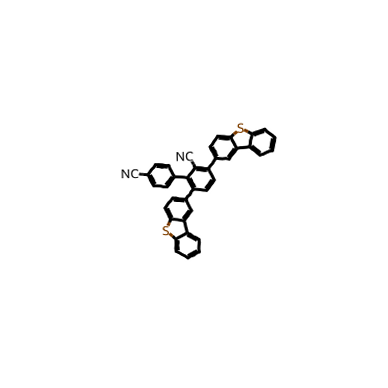 N#Cc1ccc(-c2c(-c3ccc4sc5ccccc5c4c3)ccc(-c3ccc4sc5ccccc5c4c3)c2C#N)cc1